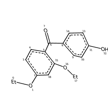 CCOc1ccc(C(=O)c2ccc(O)cc2)c(OCC)c1